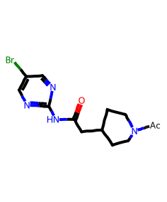 CC(=O)N1CCC(CC(=O)Nc2ncc(Br)cn2)CC1